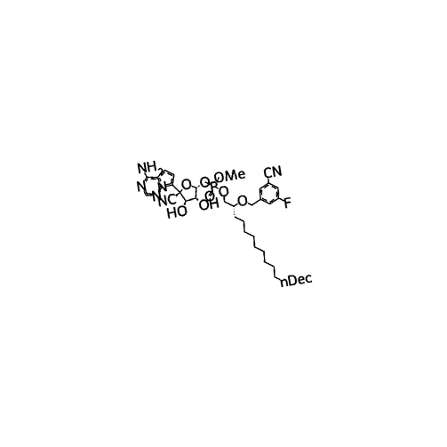 CCCCCCCCCCCCCCCCCCC[C@H](COP(=O)(OC)O[C@H]1O[C@@](C#N)(c2ccc3c(N)ncnn23)[C@H](O)[C@@H]1O)OCc1cc(F)cc(C#N)c1